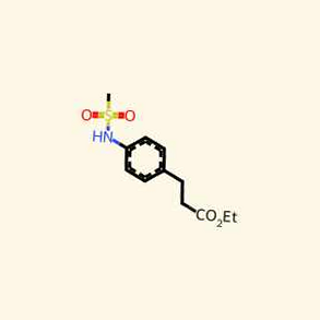 CCOC(=O)CCc1ccc(NS(C)(=O)=O)cc1